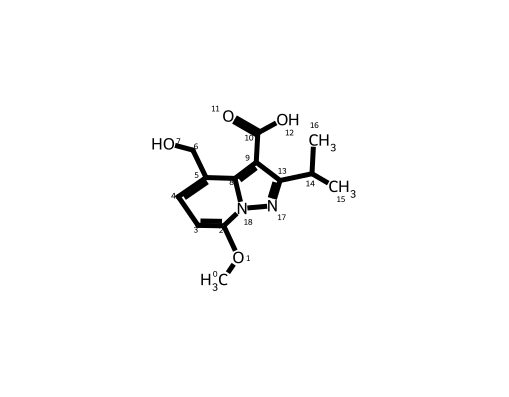 COc1ccc(CO)c2c(C(=O)O)c(C(C)C)nn12